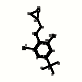 CC(C)(C)c1cc(Br)c(OCC2CO2)c(Br)c1